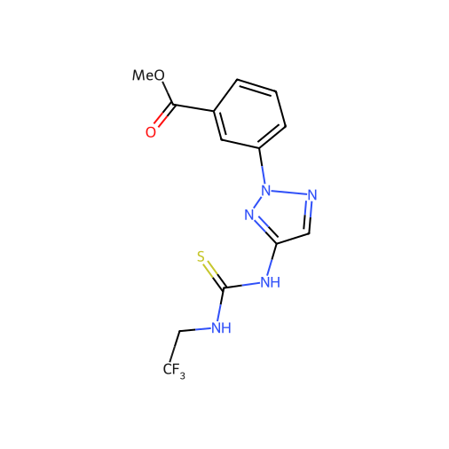 COC(=O)c1cccc(-n2ncc(NC(=S)NCC(F)(F)F)n2)c1